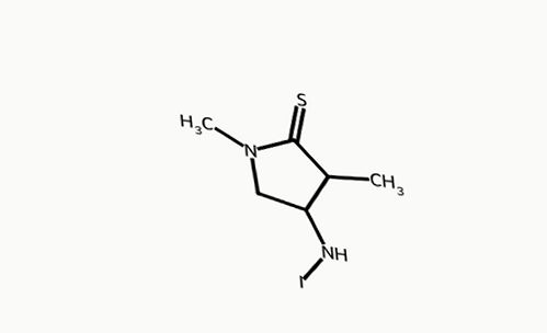 CC1C(=S)N(C)CC1NI